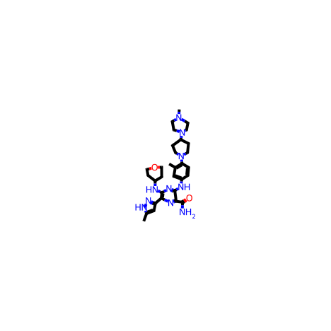 Cc1cc(-c2nc(C(N)=O)c(Nc3ccc(N4CCC(N5CCN(C)CC5)CC4)c(C)c3)nc2NC2CCOCC2)n[nH]1